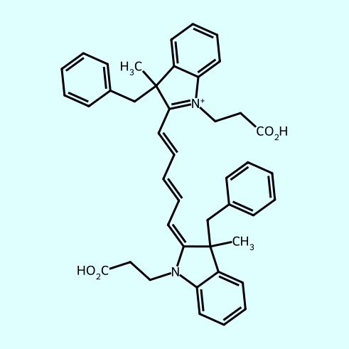 CC1(Cc2ccccc2)C(/C=C/C=C/C=C2/N(CCC(=O)O)c3ccccc3C2(C)Cc2ccccc2)=[N+](CCC(=O)O)c2ccccc21